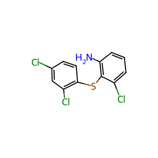 Nc1cccc(Cl)c1Sc1ccc(Cl)cc1Cl